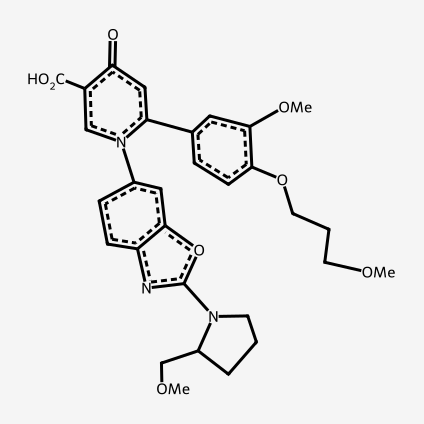 COCCCOc1ccc(-c2cc(=O)c(C(=O)O)cn2-c2ccc3nc(N4CCCC4COC)oc3c2)cc1OC